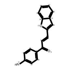 CCCc1ccc(C(=O)/C=C/c2cc3ccccc3o2)cc1